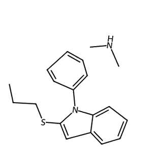 CCCSc1cc2ccccc2n1-c1ccccc1.CNC